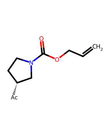 C=CCOC(=O)N1CC[C@@H](C(C)=O)C1